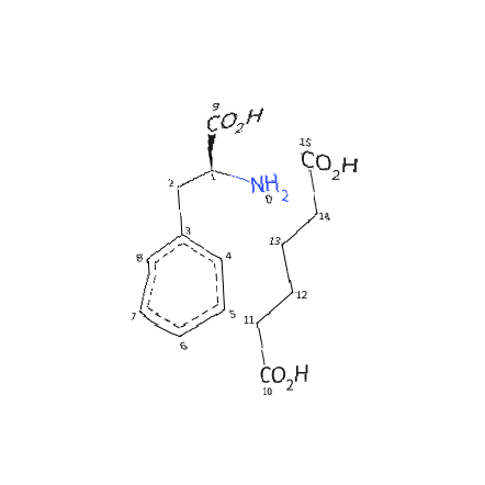 N[C@@H](Cc1ccccc1)C(=O)O.O=C(O)CCCCC(=O)O